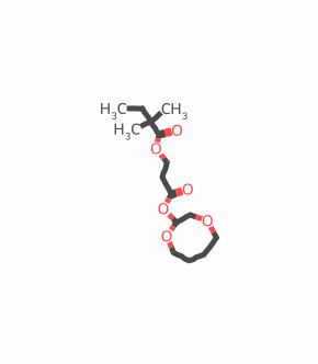 CCC(C)(C)C(=O)OCCC(=O)OC1COCCCCO1